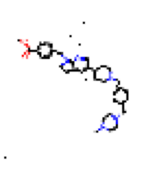 COC(=O)c1ccc(Cn2ccc3cc(C4CCN(Cc5ccc(CN6CCN(C)CC6)cc5)CC4)cnc32)cc1